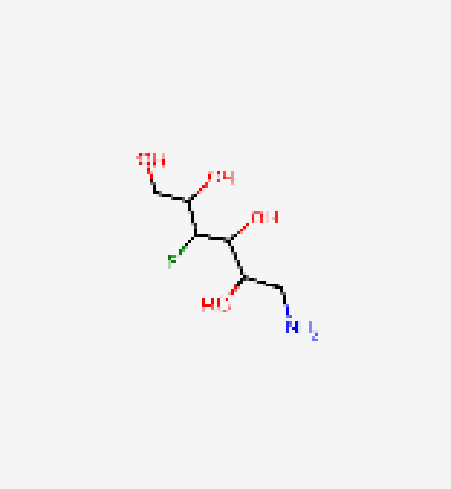 NCC(O)C(O)C(F)C(O)CO